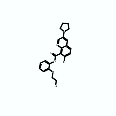 O=C(Oc1ccccc1OCCBr)c1c(Cl)ccc2cc(N3CCCC3)cnc12